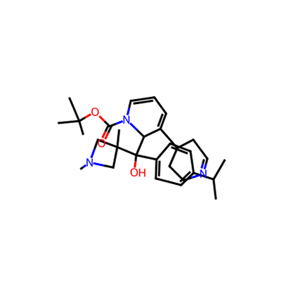 CC(C)c1ccc(C(O)(C2C(C3CC=NCC3)=CC=CN2C(=O)OC(C)(C)C)C2(C)CN(C)C2)cc1